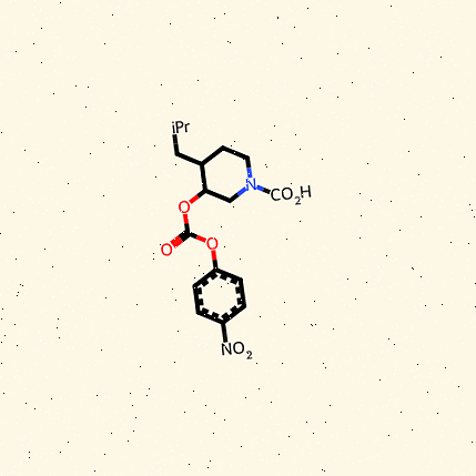 CC(C)CC1CCN(C(=O)O)CC1OC(=O)Oc1ccc([N+](=O)[O-])cc1